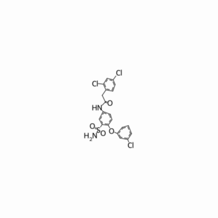 NS(=O)(=O)c1cc(NC(=O)Cc2ccc(Cl)cc2Cl)ccc1Oc1cccc(Cl)c1